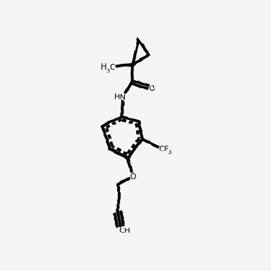 C#CCOc1ccc(NC(=O)C2(C)CC2)cc1C(F)(F)F